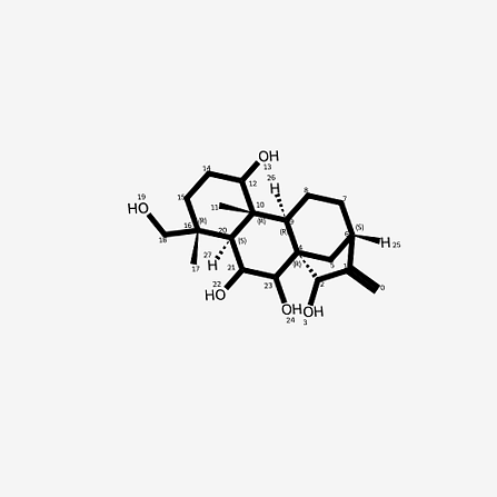 C=C1C(O)[C@@]23C[C@@H]1CC[C@@H]2[C@@]1(C)C(O)CC[C@@](C)(CO)[C@@H]1C(O)C3O